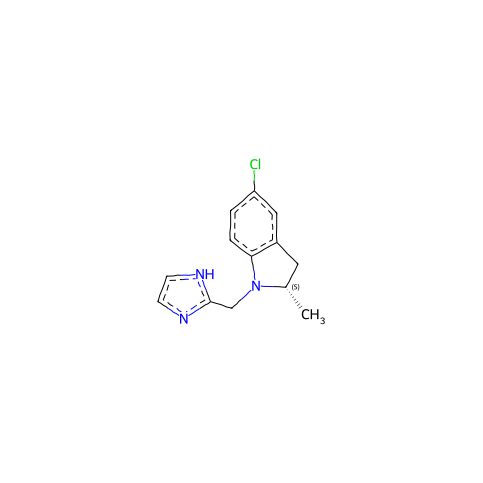 C[C@H]1Cc2cc(Cl)ccc2N1Cc1ncc[nH]1